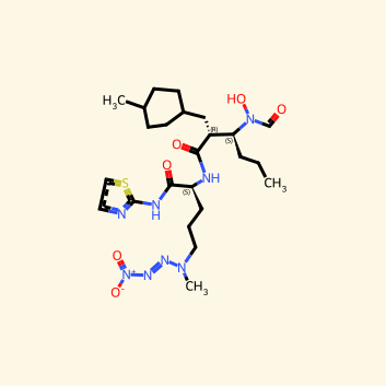 CCC[C@@H]([C@@H](CC1CCC(C)CC1)C(=O)N[C@@H](CCCN(C)N=N[N+](=O)[O-])C(=O)Nc1nccs1)N(O)C=O